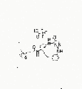 Cc1ncsc1CCC(=O)Nc1ccc2cc1CCc1cccc(c1)Nc1ncc(Cl)c(n1)N2.O=C(O)C(F)(F)F